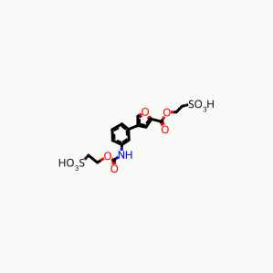 O=C(Nc1cccc(-c2coc(C(=O)OCCS(=O)(=O)O)c2)c1)OCCS(=O)(=O)O